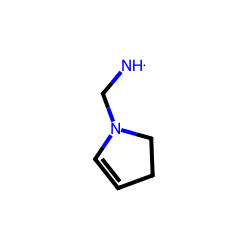 [NH]CN1C=CCC1